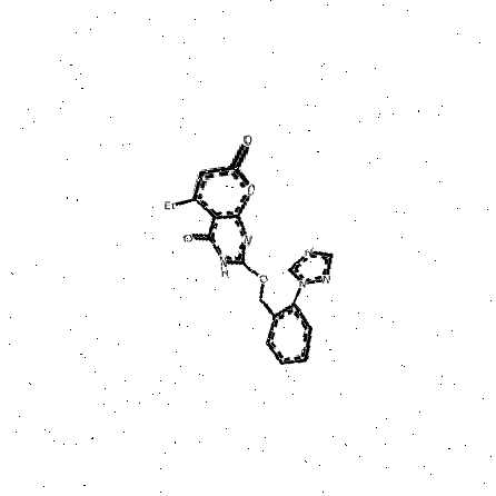 CCc1cc(=O)oc2nc(OCc3ccccc3-n3cncn3)[nH]c(=O)c12